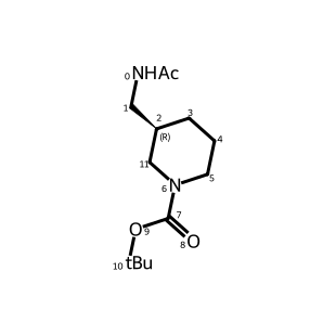 CC(=O)NC[C@H]1CCCN(C(=O)OC(C)(C)C)C1